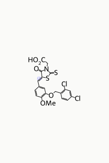 COc1ccc(/C=C2\SC(=S)N(CC(=O)O)C2=O)cc1OCc1ccc(Cl)cc1Cl